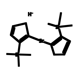 C[Si](C)(C)C1=[C]([Sc][C]2=C([Si](C)(C)C)C=CC2)CC=C1.[H-]